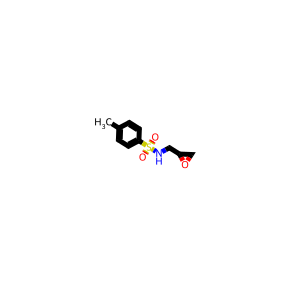 Cc1ccc(S(=O)(=O)NCC2CO2)cc1